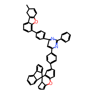 CC1C=Cc2oc3c(-c4ccc(-c5cc(-c6ccc(-c7ccc8c(c7)C7(c9ccccc9-c9ccccc97)C7CC=CC=C7O8)cc6)nc(-c6ccccc6)n5)cc4)cccc3c2C1